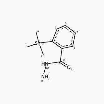 [CH3][Sn]([CH3])([CH3])[c]1ccccc1C(=O)NN